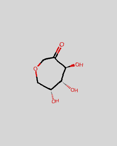 O=C1COC[C@@H](O)[C@@H](O)[C@@H]1O